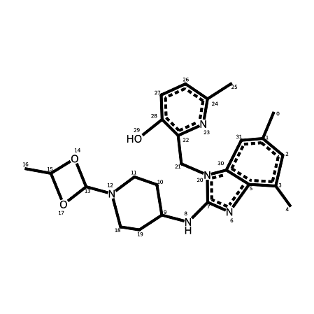 Cc1cc(C)c2nc(NC3CCN(C4OC(C)O4)CC3)n(Cc3nc(C)ccc3O)c2c1